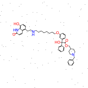 O=C(OCC1CCN(Cc2ccccc2)CC1)C(O)(c1ccccc1)c1cccc(OCCCCCCCCNCCc2ccc(O)c3[nH]c(=O)ccc23)c1